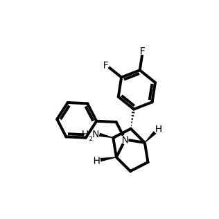 N[C@H]1[C@H](c2ccc(F)c(F)c2)[C@@H]2CC[C@H]1N2Cc1ccccc1